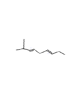 CC/C=C/C/C=C/[C](C)C